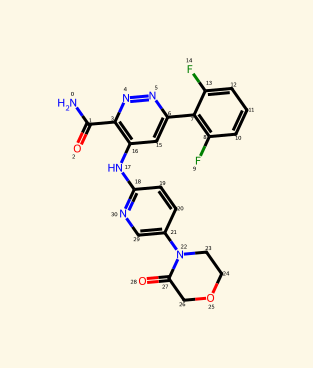 NC(=O)c1nnc(-c2c(F)cccc2F)cc1Nc1ccc(N2CCOCC2=O)cn1